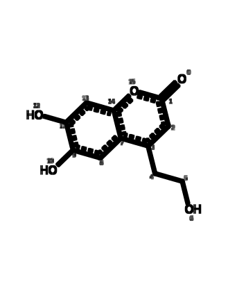 O=c1cc(CCO)c2cc(O)c(O)cc2o1